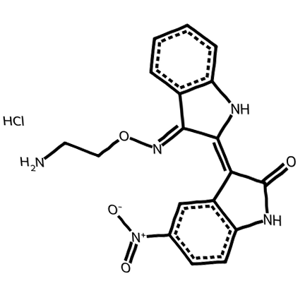 Cl.NCCO/N=C1/C(=C2/C(=O)Nc3ccc([N+](=O)[O-])cc32)Nc2ccccc21